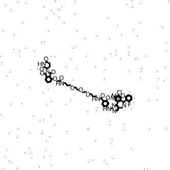 COc1cc(Nc2ncc3c(n2)-c2ccc(Cl)cc2C(c2c(F)cccc2OC)=NC3)ccc1C(=O)NCCCOCCOCCOCCCNC(=O)COc1cccc2c1C(=O)N(C1CCC(=O)NC1=O)C2=O